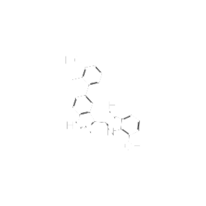 Cc1c(O)cccc1-c1ccc2[nH]nc(-c3nc4c(O)cccc4[nH]3)c2c1